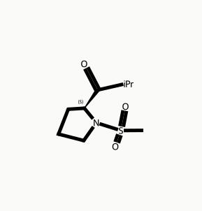 CC(C)C(=O)[C@@H]1CCCN1S(C)(=O)=O